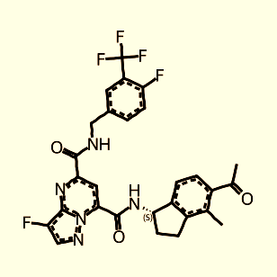 CC(=O)c1ccc2c(c1C)CC[C@@H]2NC(=O)c1cc(C(=O)NCc2ccc(F)c(C(F)(F)F)c2)nc2c(F)cnn12